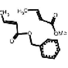 C/C=C/C(=O)OC.CC=CC(=O)OCc1ccccc1